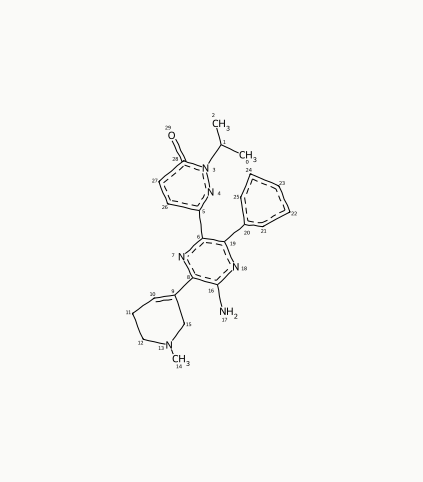 CC(C)n1nc(-c2nc(C3=CCCN(C)C3)c(N)nc2-c2ccccc2)ccc1=O